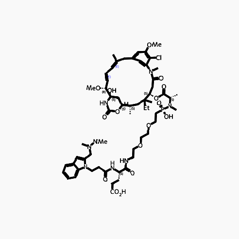 CCC1(C)C[C@H](C)[C@@H]2C[C@@](O)(NC(=O)O2)[C@H](OC)/C=C/C=C(\C)Cc2cc(OC)c(Cl)c(c2)N(C)C(=O)C[C@@H]1OC(=O)[C@H](C)N(C)P(=O)(O)CCOCCOCCNC(=O)[C@H](CCC(=O)O)NC(=O)CCn1c(CN(C)NC)cc2ccccc21